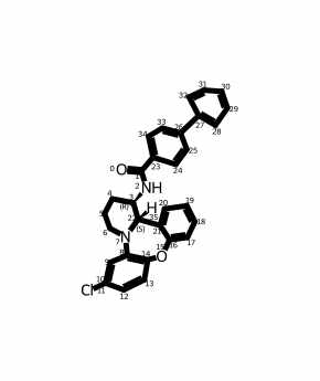 O=C(N[C@@H]1CCCN2c3cc(Cl)ccc3Oc3ccccc3[C@@H]12)c1ccc(-c2ccccc2)cc1